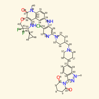 Cn1nc(N2C(=O)CCCC2=O)c2ccc(C3CCN(CC4CCN(c5cc(Nc6ccc7c(c6)c6c(c(=O)n7C)OCC(F)(F)[C@H](C7CC7)N6)c(Cl)cn5)CC4)CC3)cc21